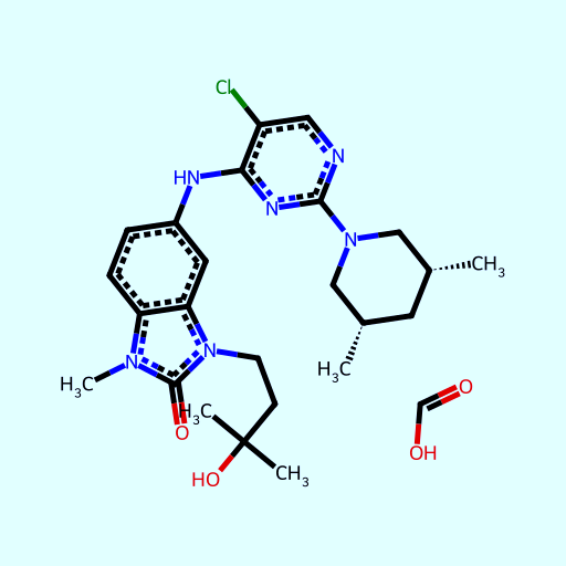 C[C@@H]1C[C@H](C)CN(c2ncc(Cl)c(Nc3ccc4c(c3)n(CCC(C)(C)O)c(=O)n4C)n2)C1.O=CO